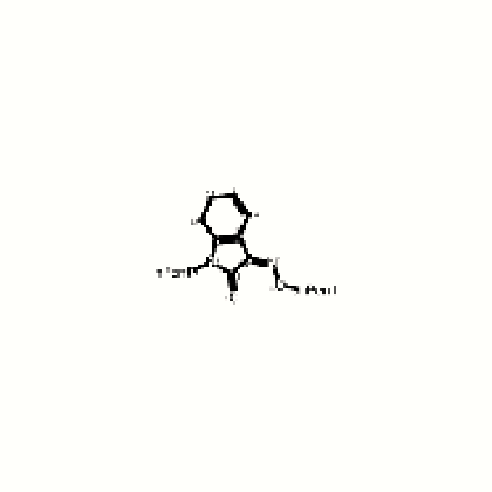 CCCCCON=C1C(=O)N(CCCCC)C2=C1C=CCC2